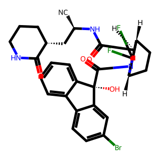 N#C[C@H](C[C@H]1CCCNC1=O)NC(=O)[C@H]1[C@@H]2CC[C@@H](CC2(F)F)N1C(=O)[C@]1(O)c2ccccc2-c2ccc(Br)cc21